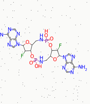 Nc1ncnc2c1ncn2C1OC2CNP(=O)(O)OC3C(CNP(=O)(O)OC2C1F)OC(n1cnc2c(N)ncnc21)C3F